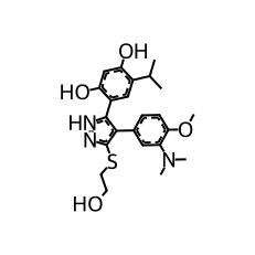 COc1ccc(-c2c(SCCO)n[nH]c2-c2cc(C(C)C)c(O)cc2O)cc1N(C)C